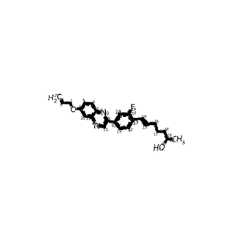 C=CCOc1ccc2nc(-c3ccc(C=CCCCC(C)O)c(F)c3)cnc2c1